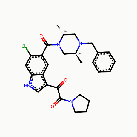 C[C@@H]1CN(Cc2ccccc2)[C@@H](C)CN1C(=O)c1cc2c(C(=O)C(=O)N3CCCC3)c[nH]c2cc1Cl